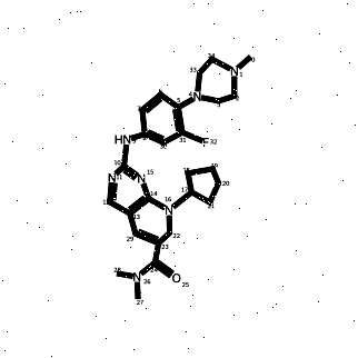 CN1CCN(c2ccc(Nc3ncc4c(n3)N(C3CCCC3)CC(C(=O)N(C)C)=C4)cc2F)CC1